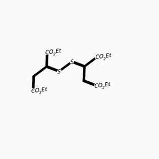 CCOC(=O)CC(SSC(CC(=O)OCC)C(=O)OCC)C(=O)OCC